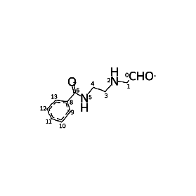 O=[C]CNCCNC(=O)c1ccccc1